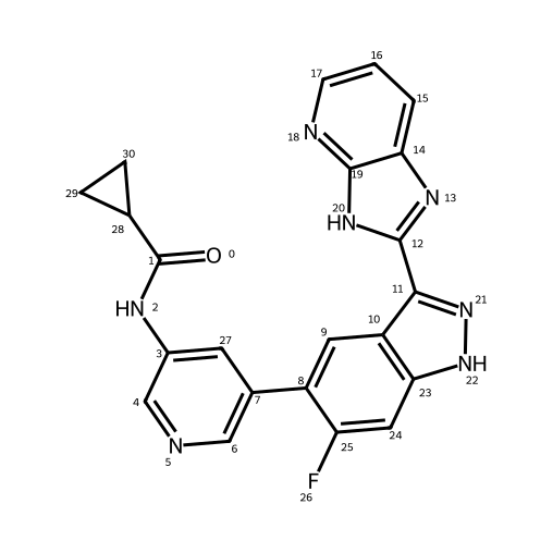 O=C(Nc1cncc(-c2cc3c(-c4nc5cccnc5[nH]4)n[nH]c3cc2F)c1)C1CC1